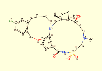 CC(=O)N1CC[C@H](O)[C@@H]2CC[C@H]2CN2CCCCc3cc(Cl)ccc3COc3ccc(cc32)C(=O)NS(=O)(=O)CC1